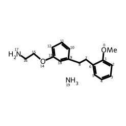 COc1ccccc1CCc1cccc(OCCN)c1.N